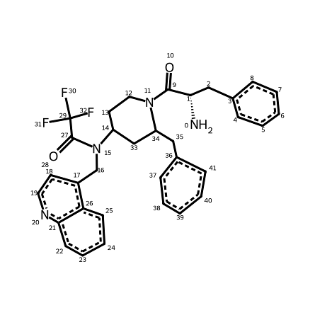 N[C@@H](Cc1ccccc1)C(=O)N1CCC(N(Cc2ccnc3ccccc23)C(=O)C(F)(F)F)CC1Cc1ccccc1